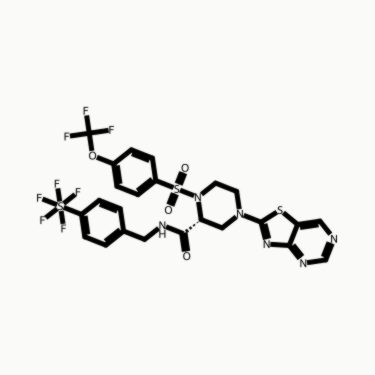 O=C(NCc1ccc(S(F)(F)(F)(F)F)cc1)[C@H]1CN(c2nc3ncncc3s2)CCN1S(=O)(=O)c1ccc(OC(F)(F)F)cc1